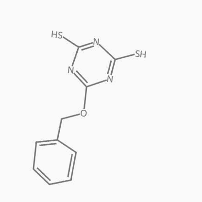 Sc1nc(S)nc(OCc2ccccc2)n1